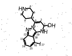 OC1C=C(C2CCNCC2)n2nc3cccc(I)c3c2N1